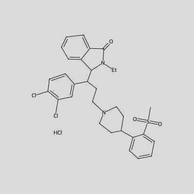 CCN1C(=O)c2ccccc2C1C(CCN1CCC(c2ccccc2S(C)(=O)=O)CC1)c1ccc(Cl)c(Cl)c1.Cl